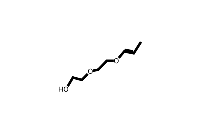 CC=COCCOCCO